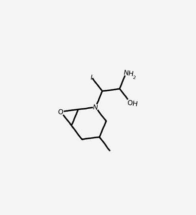 CC1CC2OC2N(C(I)C(N)O)C1